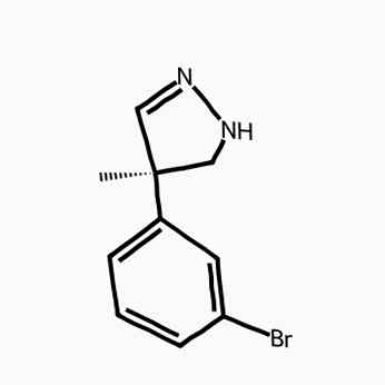 C[C@]1(c2cccc(Br)c2)C=NNC1